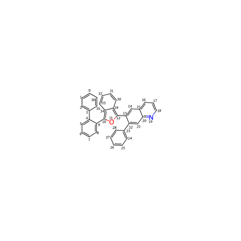 c1ccc(-c2ccccc2-c2oc(-c3cc4cccnc4cc3-c3ccccc3)c3ccccc23)cc1